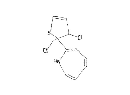 ClC1C=CSC1(Cl)C1=CC=CC=CN1